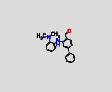 CN(C)c1ccccc1Nc1cc(-c2ccccc2)ccc1C=O